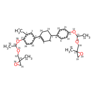 Cc1cc(C2=CCC(c3ccc(OC(C)OCC4(C)CO4)cc3)CC2)ccc1OC(C)OCC1(C)CO1